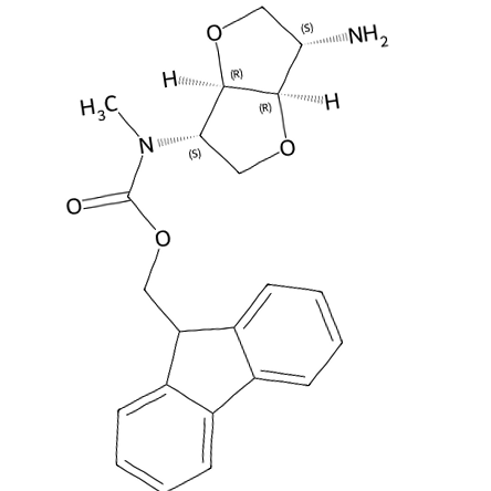 CN(C(=O)OCC1c2ccccc2-c2ccccc21)[C@H]1CO[C@H]2[C@@H]1OC[C@@H]2N